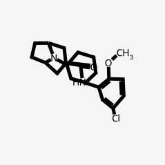 COc1ccc(Cl)cc1NC(=O)C1CC2CCC(C1)N2C1CCCCC1